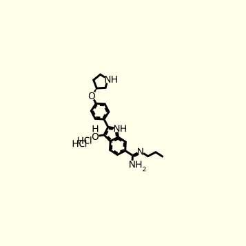 CCCN=C(N)c1ccc2c(O)c(-c3ccc(O[C@H]4CCNC4)cc3)[nH]c2c1.Cl.Cl